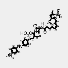 Cc1cc(C)n(B(F)F)c1/C=C1/C=CC(CCC(=O)NC2C(=O)N3C(C(=O)O)=C(CSc4ccc(N=Nc5ccc(N(C)C)cc5)cc4)CSC23)=[N+]1C